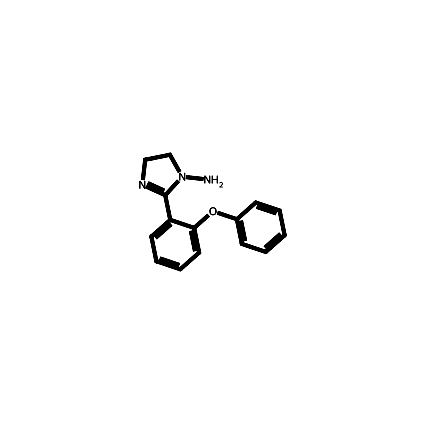 NN1CCN=C1c1ccccc1Oc1ccccc1